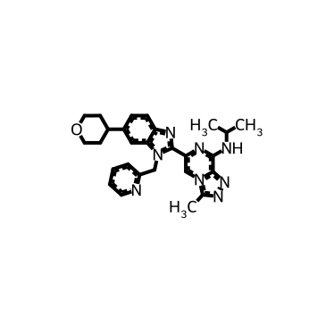 Cc1nnc2c(NC(C)C)nc(-c3nc4ccc(C5CCOCC5)cc4n3Cc3ccccn3)cn12